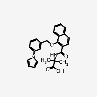 CC(C)(NC(=O)c1ccc2ccccc2c1OCc1cccc(-n2cccc2)c1)C(=O)O